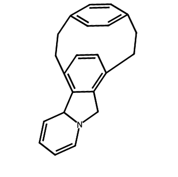 C1=CC2c3c4ccc(c3CN2C=C1)CCc1ccc(cc1)CC4